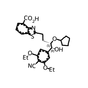 CCOc1cc([C@@H](O)[C@H](CCc2nc3c(C(=O)O)cccc3s2)OC2CCCC2)cc(OCC)c1C#N